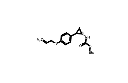 C=CCOc1ccc(C2C[C@@H]2NC(=O)OC(C)(C)C)cc1